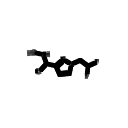 ONC(Cl)c1ccn(CC(F)F)n1